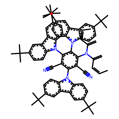 C=C(/C=C\C)N(C(=C)/C=C\C)c1c(C#N)c(-n2c3ccc(C(C)(C)C)cc3c3cc(C(C)(C)C)ccc32)c(C#N)c(-n2c3ccc(C(C)(C)C)cc3c3cc(C(C)(C)C)ccc32)c1-n1c2ccc(C(C)(C)C)cc2c2cc(C(C)(C)C)ccc21